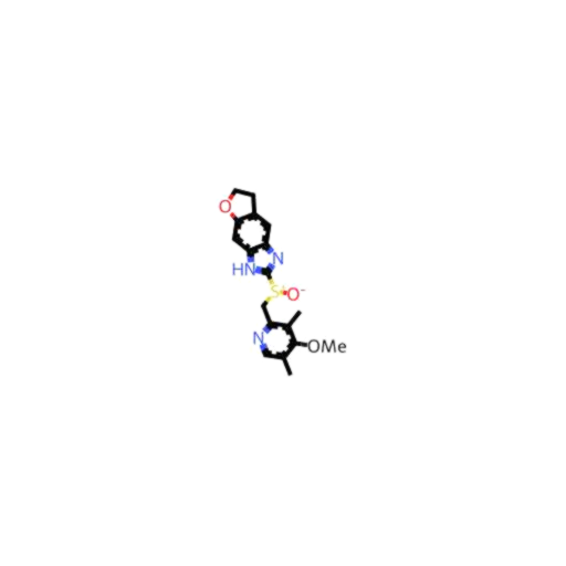 COc1c(C)cnc(C[S+]([O-])c2nc3cc4c(cc3[nH]2)OCC4)c1C